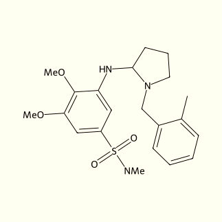 CNS(=O)(=O)c1cc(NC2CCCN2Cc2ccccc2C)c(OC)c(OC)c1